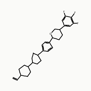 C=CC1CCC(C2CCC(c3ccc(C4CCC(c5cc(F)c(F)c(F)c5)CO4)cc3)CC2)CC1